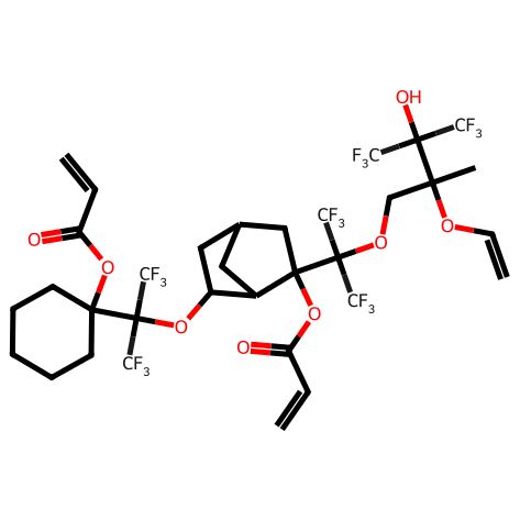 C=COC(C)(COC(C(F)(F)F)(C(F)(F)F)C1(OC(=O)C=C)CC2CC(OC(C(F)(F)F)(C(F)(F)F)C3(OC(=O)C=C)CCCCC3)C1C2)C(O)(C(F)(F)F)C(F)(F)F